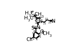 COc1ccc(Cl)cc1C(=S)/N=c1\sc(C(C)(C)C)cn1CCC#N